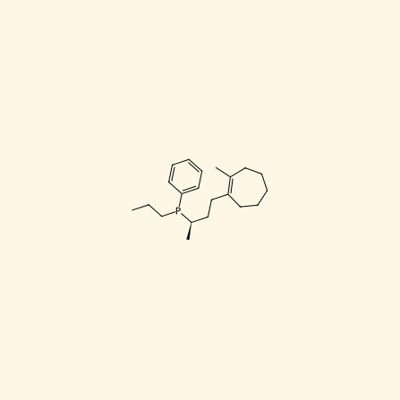 CCCP(c1ccccc1)[C@H](C)CCC1=C(C)CCCCC1